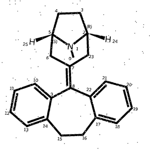 CN1[C@@H]2CC[C@H]1CC(=C1c3ccccc3CCc3ccccc31)C2